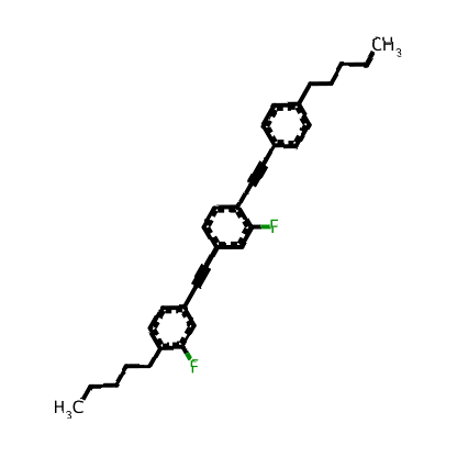 CCCCCc1ccc(C#Cc2ccc(C#Cc3ccc(CCCCC)c(F)c3)cc2F)cc1